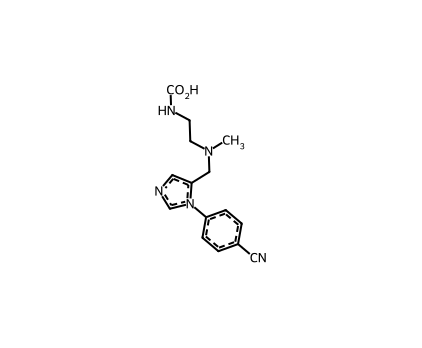 CN(CCNC(=O)O)Cc1cncn1-c1ccc(C#N)cc1